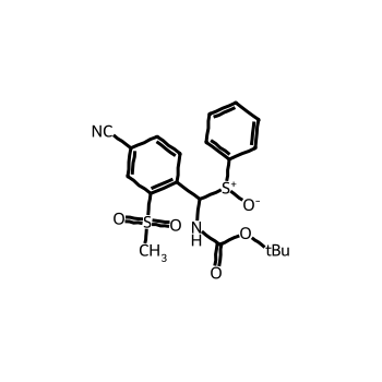 CC(C)(C)OC(=O)NC(c1ccc(C#N)cc1S(C)(=O)=O)[S+]([O-])c1ccccc1